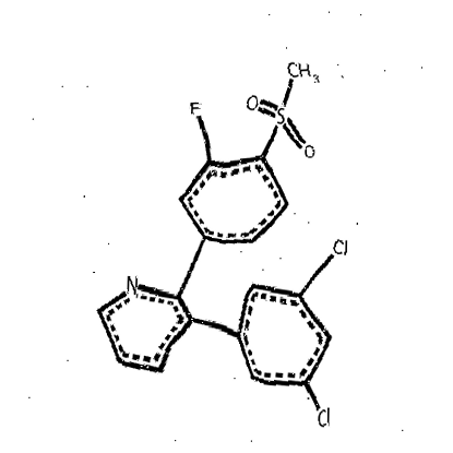 CS(=O)(=O)c1ccc(-c2ncccc2-c2cc(Cl)cc(Cl)c2)cc1F